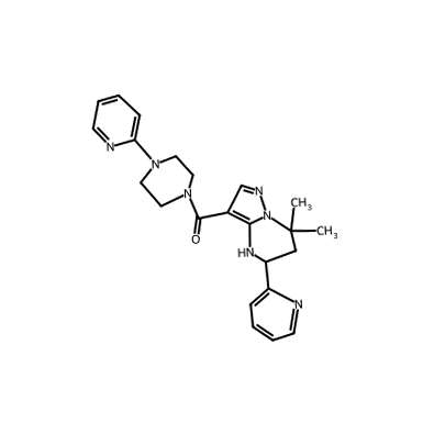 CC1(C)CC(c2ccccn2)Nc2c(C(=O)N3CCN(c4ccccn4)CC3)cnn21